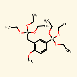 CCO[Si](Cc1cc([Si](OCC)(OCC)OCC)ccc1OC)(OCC)OCC